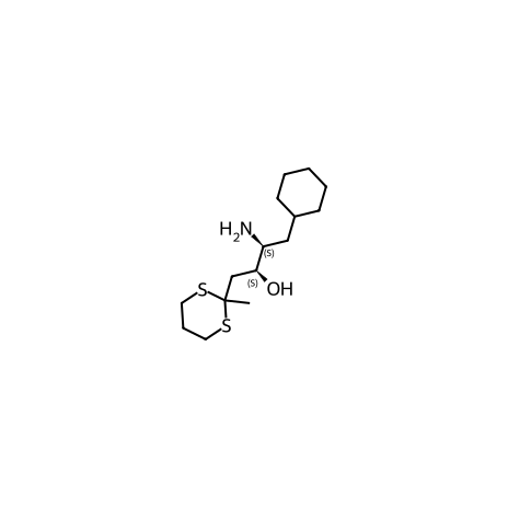 CC1(C[C@H](O)[C@@H](N)CC2CCCCC2)SCCCS1